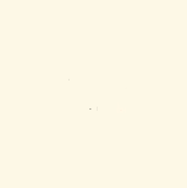 O=[N+]([O-])c1ccc(C(O)=S)cc1.[KH]